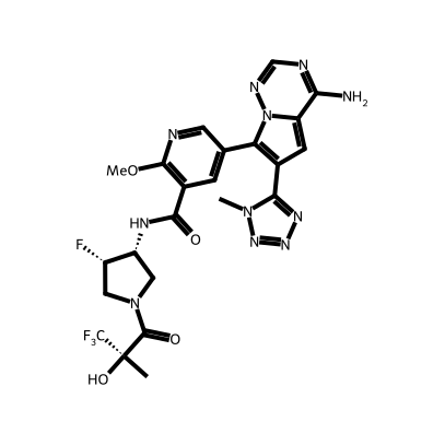 COc1ncc(-c2c(-c3nnnn3C)cc3c(N)ncnn23)cc1C(=O)N[C@@H]1CN(C(=O)[C@@](C)(O)C(F)(F)F)C[C@@H]1F